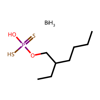 CCCCC(CC)COP(O)(=S)S.[BiH3]